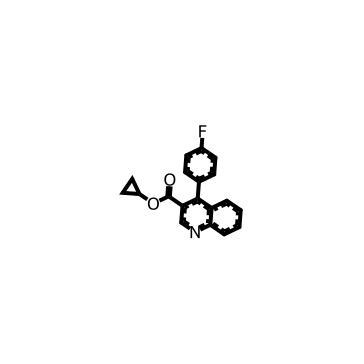 O=C(OC1CC1)c1cnc2ccccc2c1-c1ccc(F)cc1